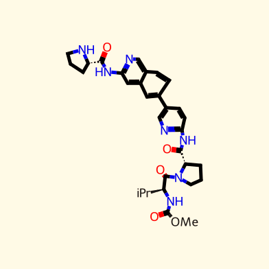 COC(=O)N[C@H](C(=O)N1CCC[C@H]1C(=O)Nc1ccc(-c2ccc3cnc(NC(=O)[C@@H]4CCCN4)cc3c2)cn1)C(C)C